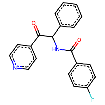 O=C(NC(C(=O)c1ccncc1)c1ccccc1)c1ccc(F)cc1